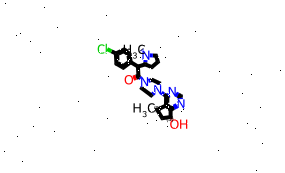 C[C@@H]1C[C@H](O)c2ncnc(N3CCN(C(=O)C(c4ccc(Cl)cc4)C4CCCN4C)CC3)c21